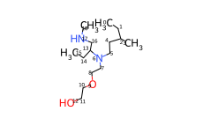 CCC(C)CCN(CCOCCO)C(CC)CNC